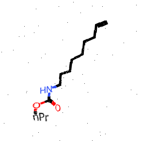 C=CCCCCCCCNC(=O)OCCC